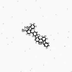 Clc1ccc2c(oc3ccc(-c4ccc(Br)c5[nH]c6ccccc6c45)cc32)c1-c1cccc2c1[nH]c1ccccc12